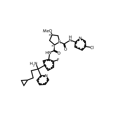 CO[C@@H]1C[C@H](C(=O)Nc2cc(C(N)(CCC3CC3)c3ccccn3)ccc2F)N(C(=O)Nc2ccc(Cl)cn2)C1